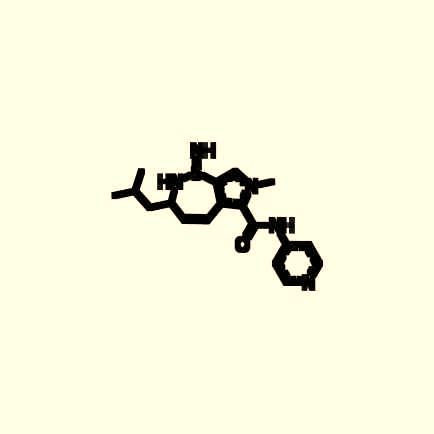 CC(C)CC1C=Cc2c(cn(C)c2C(=O)Nc2ccncc2)S(=N)N1